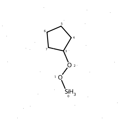 [SiH3]OOC1CCCC1